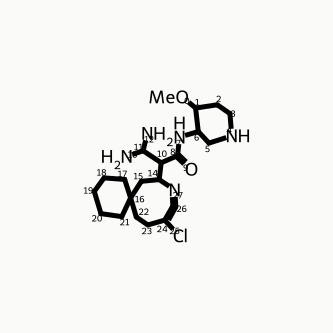 COC1CCNCC1NC(=O)C(C(N)N)C1CC2(CCCCC2)CCC(Cl)=C=N1